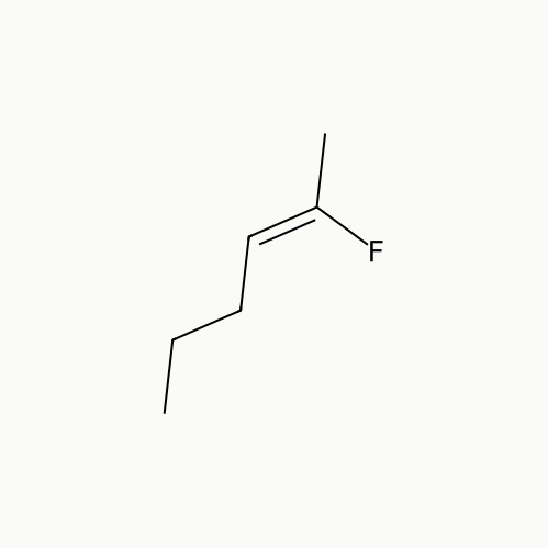 CCCC=C(C)F